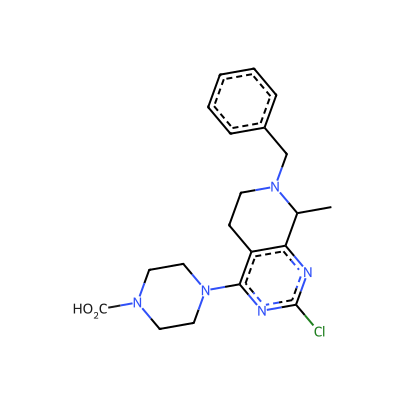 CC1c2nc(Cl)nc(N3CCN(C(=O)O)CC3)c2CCN1Cc1ccccc1